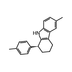 Cc1ccc([C@@H]2CCCc3c2[nH]c2ccc(C)cc32)cc1